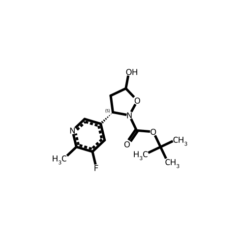 Cc1ncc([C@@H]2CC(O)ON2C(=O)OC(C)(C)C)cc1F